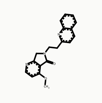 COc1ccnc2c1C(=O)N(CCc1ccc3ccccc3n1)C2